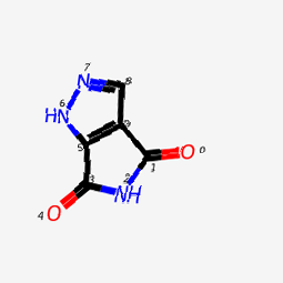 O=C1NC(=O)c2[nH]ncc21